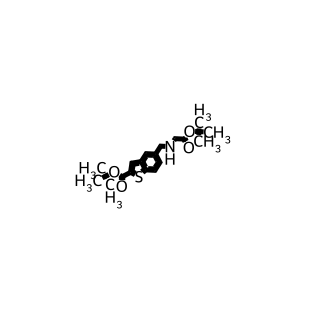 CC(C)(C)OC(=O)CNCc1ccc2sc(C(=O)OC(C)(C)C)cc2c1